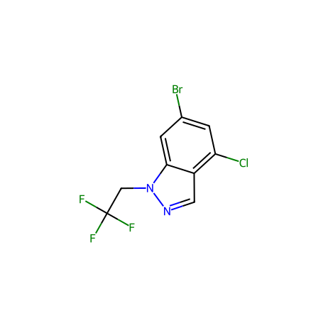 FC(F)(F)Cn1ncc2c(Cl)cc(Br)cc21